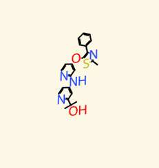 Cc1nc(-c2ccccc2)c(Oc2ccnc(Nc3ccnc(C(C)(C)O)c3)c2)s1